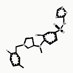 Cc1ccc(F)c(CN2CCC(N(C)c3ccc(S(=O)(=O)Nc4ncns4)cc3Cl)C2)c1